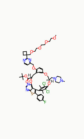 COCCOCCOCCOCC1(c2nccc(COc3ccc4cc3C[C@H](C(=O)OC(C)(C)C)Oc3ncnc5sc(-c6ccc(F)cc6)c(c35)-c3c(C)c(Cl)c(c(Cl)c3C)O[C@H](CN3CCN(C)CC3)CO4)n2)CCC1